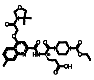 CCOC(=O)N1CCN(C(=O)[C@H](CCC(=O)O)NC(=O)c2cc(OCC(=O)N3COCC3(C)C)c3ccc(C)cc3n2)CC1